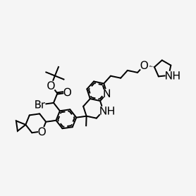 CC(C)(C)OC(=O)C(Br)c1cc(C2(C)CNc3nc(CCCCO[C@@H]4CCNC4)ccc3C2)ccc1C1CCC2(CC2)CO1